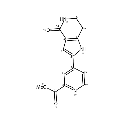 COC(=O)c1cc(-c2cc3c([nH]2)CCNC3=O)ccn1